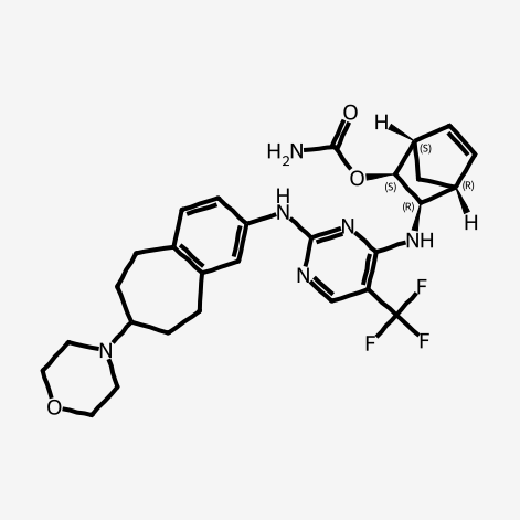 NC(=O)O[C@@H]1[C@H](Nc2nc(Nc3ccc4c(c3)CCC(N3CCOCC3)CC4)ncc2C(F)(F)F)[C@H]2C=C[C@@H]1C2